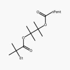 CCCCCC(=O)OC(C)(C)C(C)(C)OC(=O)C(C)(C)CC